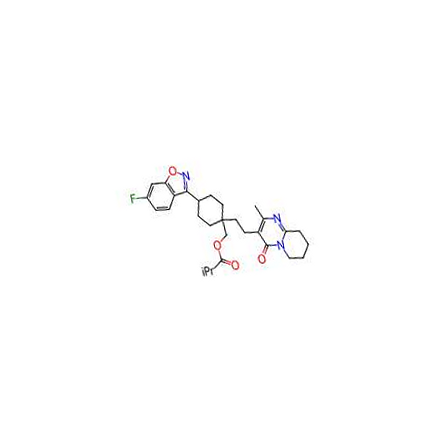 Cc1nc2n(c(=O)c1CCC1(COC(=O)C(C)C)CCC(c3noc4cc(F)ccc34)CC1)CCCC2